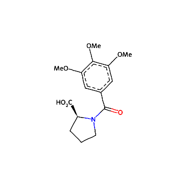 COc1cc(C(=O)N2CCC[C@H]2C(=O)O)cc(OC)c1OC